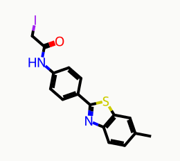 Cc1ccc2nc(-c3ccc(NC(=O)CI)cc3)sc2c1